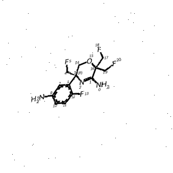 NC1=N[C@](CF)(c2cc(N)ccc2F)COC1(CF)CF